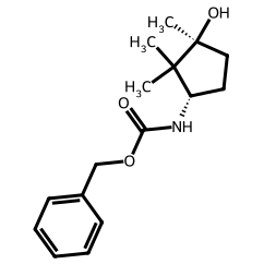 CC1(C)[C@@H](NC(=O)OCc2ccccc2)CC[C@]1(C)O